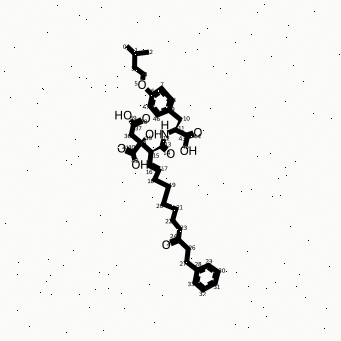 CC(C)CCOc1ccc(C[C@H](NC(=O)[C@@H](/C=C/CCCCCCC(=O)CCc2ccccc2)[C@@](O)(CC(=O)O)C(=O)O)C(=O)O)cc1